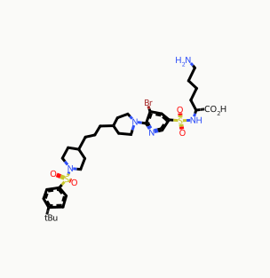 CC(C)(C)c1ccc(S(=O)(=O)N2CCC(CCCC3CCN(c4ncc(S(=O)(=O)NC(CCCCN)C(=O)O)cc4Br)CC3)CC2)cc1